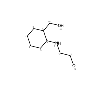 [O]CCNC1CCCCC1CO